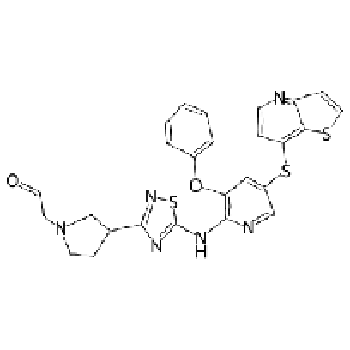 O=CCN1CCC(c2nsc(Nc3ncc(Sc4ccnc5ccsc45)cc3Oc3ccccc3)n2)C1